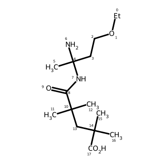 CCOCCC(C)(N)NC(=O)C(C)(C)CC(C)(C)C(=O)O